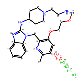 CCOCCOc1ccc(C)nc1Cn1c(NC2CCN(CCN)CC2)nc2ccccc21.Cl.Cl.Cl.Cl.O.O